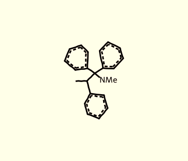 CNC(c1ccccc1)(c1ccccc1)C(C)c1ccccc1